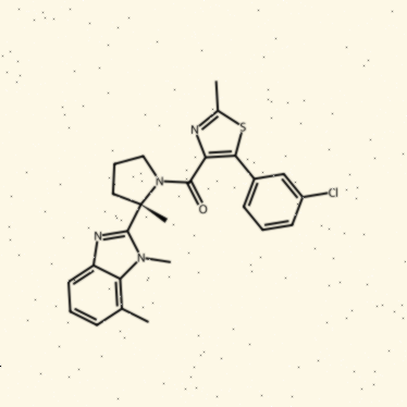 Cc1nc(C(=O)N2CCC[C@@]2(C)c2nc3cccc(C)c3n2C)c(-c2cccc(Cl)c2)s1